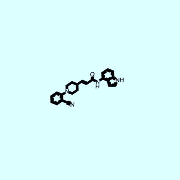 N#Cc1ccccc1N1CCC(C=CC(=O)Nc2cccc3[nH]ccc23)CC1